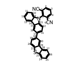 N#Cc1cccc(C#N)c1-n1c2ccccc2c2cc(-c3ccc4sc5ccccc5c4c3)ccc21